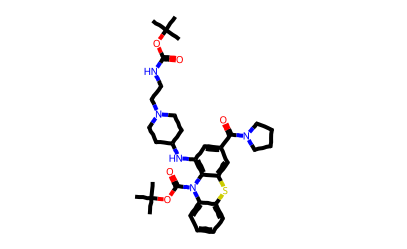 CC(C)(C)OC(=O)NCCN1CCC(Nc2cc(C(=O)N3CCCC3)cc3c2N(C(=O)OC(C)(C)C)c2ccccc2S3)CC1